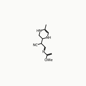 C=C(N=CC(C#N)C1CNC(C)=CN1)OC